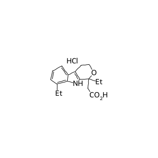 CCc1cccc2c3c([nH]c12)C(CC)(CC(=O)O)OCC3.Cl